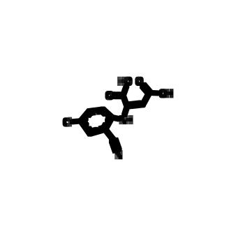 N#Cc1cc(Cl)ccc1NC(=CC(=O)O)C(=O)O